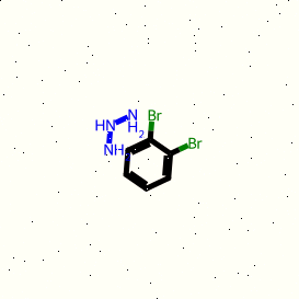 Brc1ccccc1Br.NNN